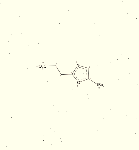 CC(C)(C)c1cnc(CCC(=O)O)o1